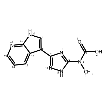 CN(C(=O)O)c1nc(-c2c[nH]c3ncccc23)n[nH]1